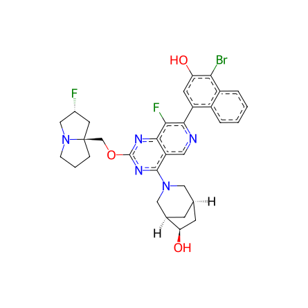 Oc1cc(-c2ncc3c(N4C[C@@H]5C[C@H](C4)[C@H](O)C5)nc(OC[C@@]45CCCN4C[C@H](F)C5)nc3c2F)c2ccccc2c1Br